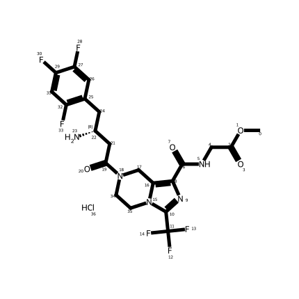 COC(=O)CNC(=O)c1nc(C(F)(F)F)n2c1CN(C(=O)C[C@H](N)Cc1cc(F)c(F)cc1F)CC2.Cl